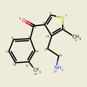 Cc1scc(C(=O)c2cccc(C(F)(F)F)c2)c1CCN